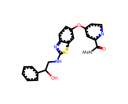 CNC(=O)c1cc(Oc2ccc3nc(NCC(O)c4ccccc4)sc3c2)ccn1